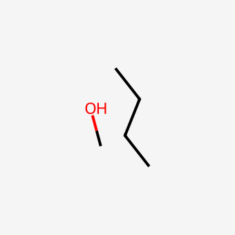 CCCC.CO